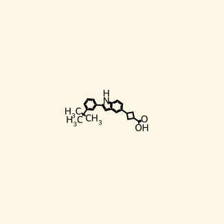 CC(C)(C)c1cccc(-c2cc3cc(C4CC(C(=O)O)C4)ccc3[nH]2)c1